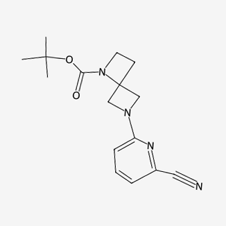 CC(C)(C)OC(=O)N1CCC12CN(c1cccc(C#N)n1)C2